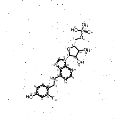 O=P(O)(O)OC[C@H]1O[C@@H](n2cnc3c(NCc4ccc(O)cc4F)ncnc32)[C@H](O)[C@@H]1O